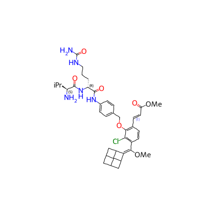 COC(=O)/C=C/c1ccc(C(OC)=C2C3CC4CC5CC2C453)c(Cl)c1OCc1ccc(NC(=O)[C@@H](CCCNC(N)=O)NC(=O)[C@@H](N)C(C)C)cc1